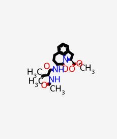 COC(=O)[C@@H]1Cc2cccc3c2N1C(=O)[C@@H](NC(=O)[C@@H](NC(C)=O)C(C)C)CC3